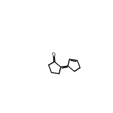 O=C1CCCC1=C1C=CCC1